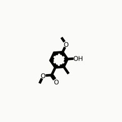 COC(=O)c1ccc(OC)c(O)c1C